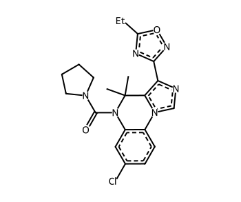 CCc1nc(-c2ncn3c2C(C)(C)N(C(=O)N2CCCC2)c2cc(Cl)ccc2-3)no1